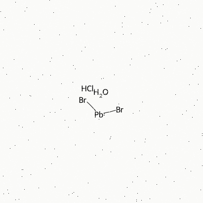 Cl.O.[Br][Pb][Br]